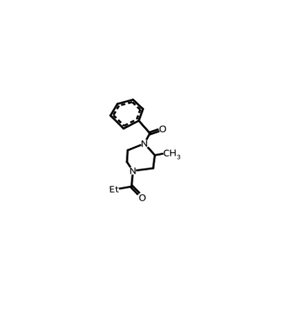 CCC(=O)N1CCN(C(=O)c2ccccc2)C(C)C1